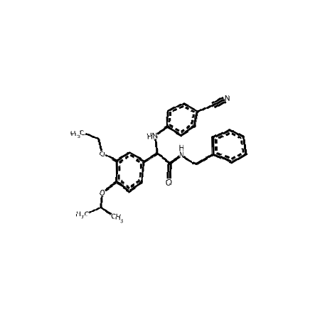 CCOc1cc(C(Nc2ccc(C#N)cc2)C(=O)NCc2ccccc2)ccc1OC(C)C